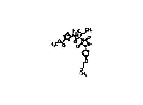 CC[C@H](C)[C@@H](C(=O)Nc1nc(C(=O)OC)cs1)N1C(=O)N[C@H](c2ccc(OCCOC)cc2)C1=O